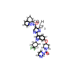 O=C(NC1(C(=O)O)CCCc2ccccc21)c1cnc(-c2cn(C3CCC(F)(F)CC3)c3cc(OC4CCN(C(=O)[n+]5cccnc5)CC4)ccc23)nc1C(F)(F)F